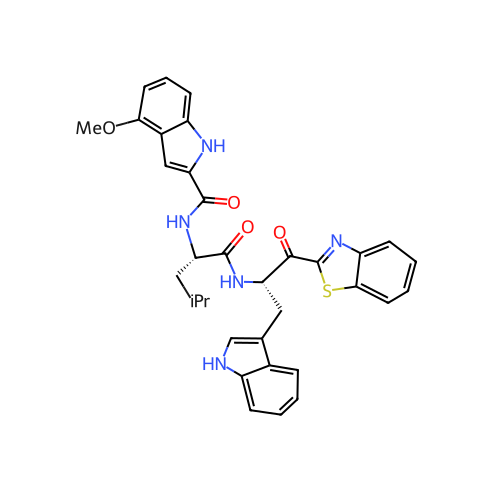 COc1cccc2[nH]c(C(=O)N[C@@H](CC(C)C)C(=O)N[C@@H](Cc3c[nH]c4ccccc34)C(=O)c3nc4ccccc4s3)cc12